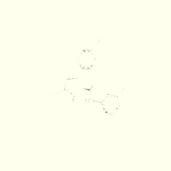 CC1=[N+]([O-])[C@H](C(=O)Nc2cccc(F)c2F)[C@@H](c2ccc(C)cc2)C1